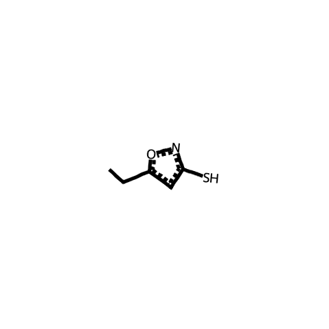 CCc1cc(S)no1